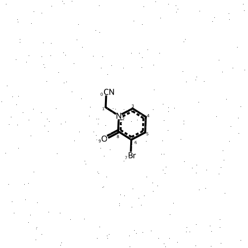 N#CCn1cccc(Br)c1=O